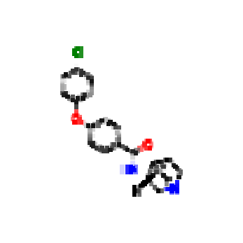 O=C(N[C@H]1CN2CCC1CC2)c1ccc(Oc2ccc(Cl)cc2)cc1